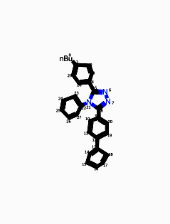 CCCCc1ccc(-c2nnc(-c3ccc(-c4ccccc4)cc3)n2-c2ccccc2)cc1